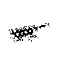 C=CCCOC(=O)Nc1cc(N(C)C)c2c(c1O)C(=O)C1=C(O)[C@@]3(O)C(=O)C(C(N)=O)=C(O)[C@H](N(C)C)[C@H]3C[C@H]1C2